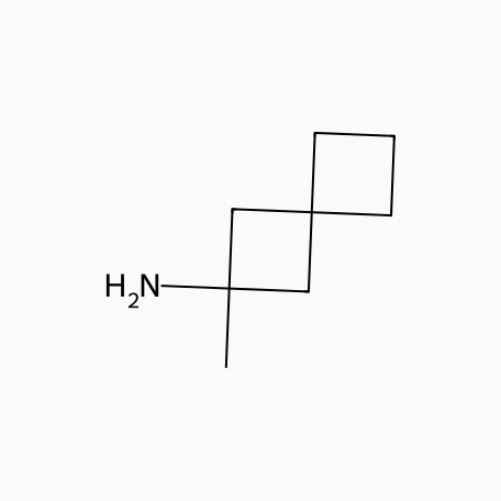 CC1(N)CC2(CCC2)C1